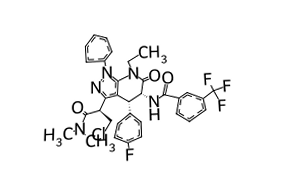 CCN1C(=O)[C@H](NC(=O)c2cccc(C(F)(F)F)c2)[C@H](c2ccc(F)cc2)c2c([C@@H](CCl)C(=O)N(C)C)nn(-c3ccccc3)c21